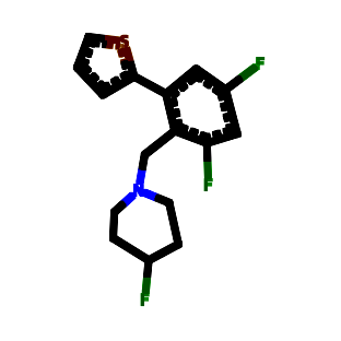 Fc1cc(F)c(CN2CCC(F)CC2)c(-c2cccs2)c1